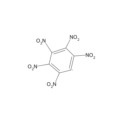 O=[N+]([O-])c1[c]c([N+](=O)[O-])c([N+](=O)[O-])c([N+](=O)[O-])c1[N+](=O)[O-]